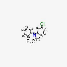 FC(F)(F)c1cc2ccc(Cl)cc2n1-c1ccccc1